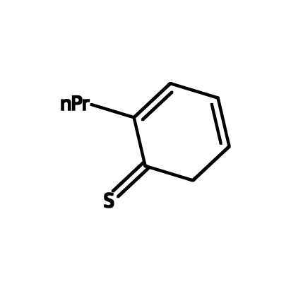 C[CH]CC1=CC=CCC1=S